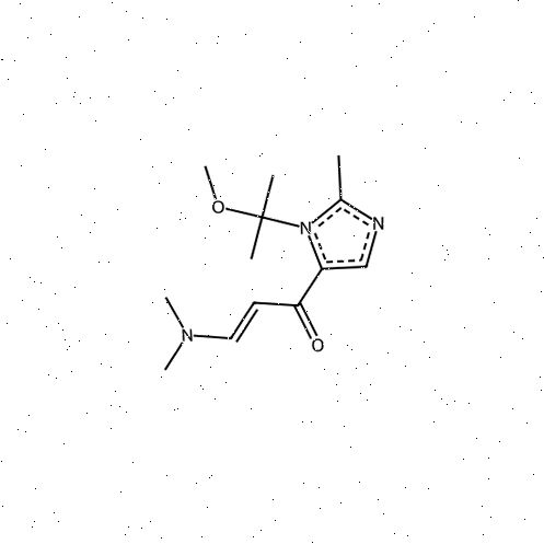 COC(C)(C)n1c(C(=O)C=CN(C)C)cnc1C